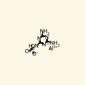 Nc1nc(N)nc(N)n1.[Al+3].[O-]P([O-])[O-]